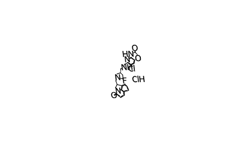 Cl.O=C1COc2cc(Cl)c(CNC[C@H]3CCN(CC4Cn5c(=O)ccc6ccc(F)c4c65)C3)nc2N1